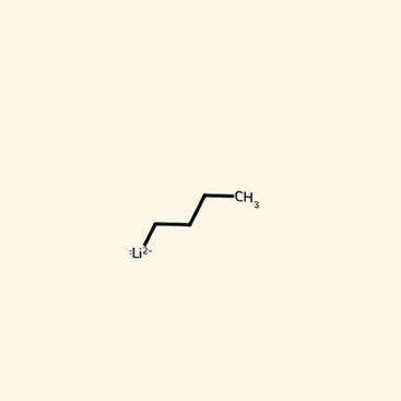 [Li-2][CH2]CCC